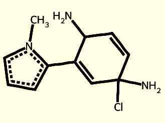 Cn1cccc1C1=CC(N)(Cl)C=CC1N